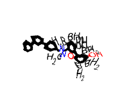 Bc1c(O)c(B)c2c(oc3c(/C(N=C)=N/Cc4ccc(-c5cccc(-c6ccccc6)c5)cc4)c(B)c(B)c(B)c32)c1B